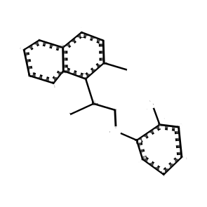 Cc1ccc2ccccc2c1C(C)COc1ccccc1N